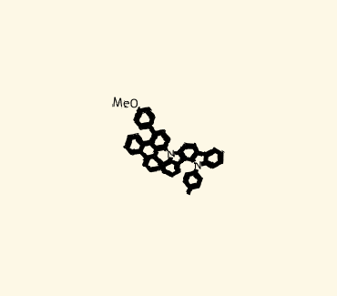 COc1ccc(-c2ccc(-n3c4ccccc4c4c3ccc3c5ccccc5n(-c5ccc(C)cc5)c34)c3c4ccccc4c4ccccc4c23)cc1